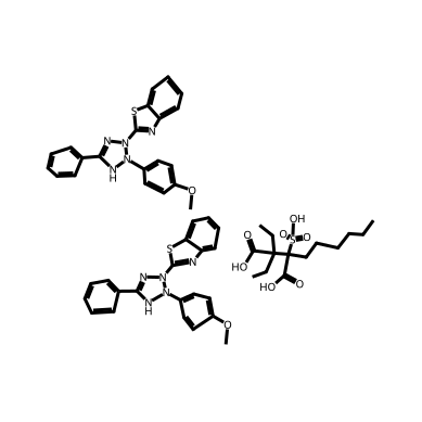 CCCCCCC(C(=O)O)(C(CC)(CC)C(=O)O)S(=O)(=O)O.COc1ccc(N2NC(c3ccccc3)=NN2c2nc3ccccc3s2)cc1.COc1ccc(N2NC(c3ccccc3)=NN2c2nc3ccccc3s2)cc1